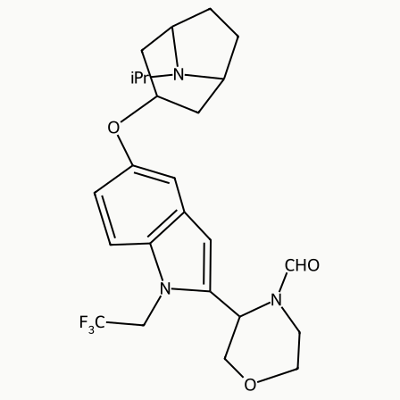 CC(C)N1C2CCC1CC(Oc1ccc3c(c1)cc(C1COCCN1C=O)n3CC(F)(F)F)C2